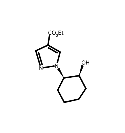 CCOC(=O)c1cnn([C@@H]2CCCC[C@@H]2O)c1